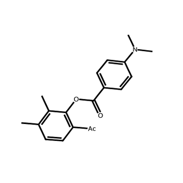 CC(=O)c1ccc(C)c(C)c1OC(=O)c1ccc(N(C)C)cc1